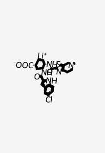 CN1CCc2nc(C(=O)N[C@H]3CC[C@@H](C(=O)[O-])C[C@H]3NC(=O)c3cc4cc(Cl)ccc4[nH]3)sc2C1.[Li+]